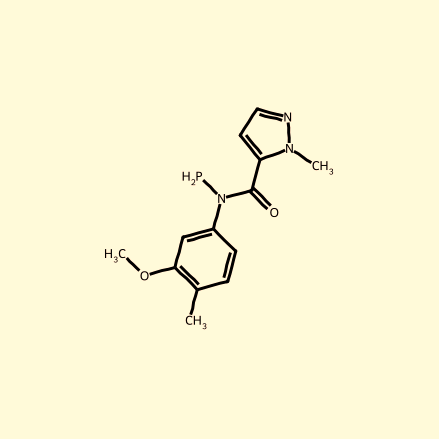 COc1cc(N(P)C(=O)c2ccnn2C)ccc1C